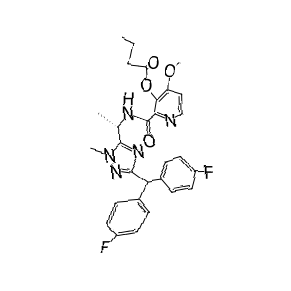 CCCC(=O)Oc1c(OC)ccnc1C(=O)N[C@@H](C)c1nc(C(c2ccc(F)cc2)c2ccc(F)cc2)nn1C